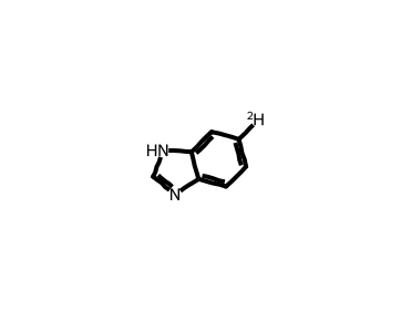 [2H]c1ccc2nc[nH]c2c1